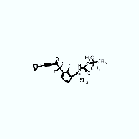 C[C@@H](NC(=O)OC(C)(C)C)c1cccc(C(F)(F)C(=O)C#CC2CC2)c1F